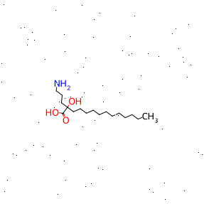 CCCCCCCCCCCCC(O)(CCCN)C(=O)O